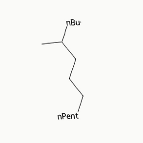 CCC[CH]C(C)CCCCCCCC